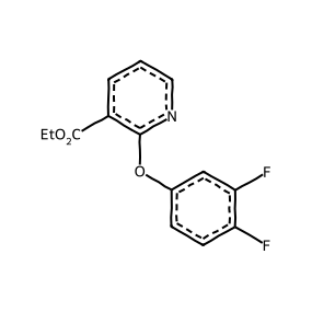 CCOC(=O)c1cccnc1Oc1ccc(F)c(F)c1